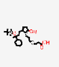 CC(CCC1=CCC(O)[C@@H]1CCC=C=CCC(=O)O)(O[Si](C)(C)C(C)(C)C)C1CCCCC1